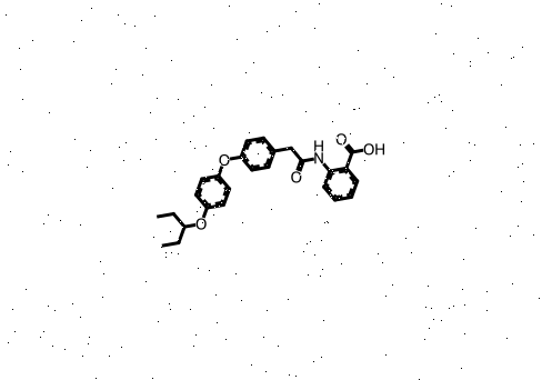 CCC(CC)Oc1ccc(Oc2ccc(CC(=O)Nc3ccccc3C(=O)O)cc2)cc1